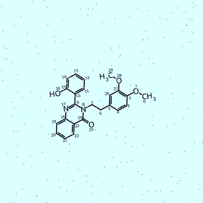 COc1ccc(CCn2c(-c3ccccc3O)nc3ccccc3c2=O)cc1OC